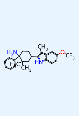 Cc1c(C2CCC(N)(c3ccccc3)C(C)(C)C2)[nH]c2ccc(OC(F)(F)F)cc12